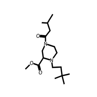 COC(=O)C1CN(C(=O)CC(C)C)CCN1CCC(C)(C)C